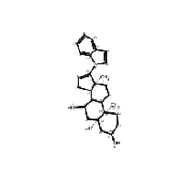 C[C@]12CCC3C(C(O)C[C@@H]4C[C@H](O)CC[C@]34C)C1CC=C2n1ccc2ccccc21